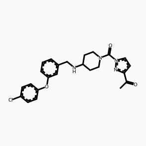 CC(=O)c1ccn(C(=O)N2CCC(NCc3cccc(Oc4ccc(Cl)cc4)c3)CC2)n1